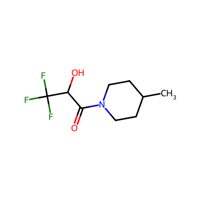 CC1CCN(C(=O)C(O)C(F)(F)F)CC1